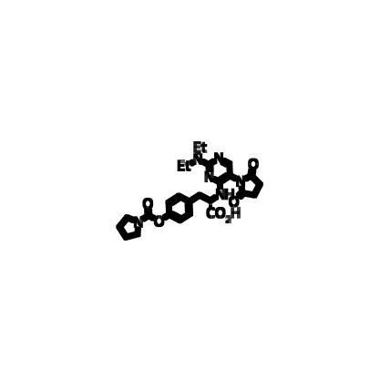 CCN(CC)c1ncc(N2C(=O)CCC2=O)c(N[C@@H](Cc2ccc(OC(=O)N3CCCC3)cc2)C(=O)O)n1